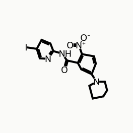 O=C(Nc1ccc(I)cn1)c1cc(N2CCCCC2)ccc1[N+](=O)[O-]